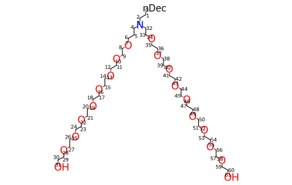 CCCCCCCCCCCCN(CCCOCCOCCOCCOCCOCCOCCOCCOCCO)CCOCCOCCOCCOCCOCCOCCOCCOCCOCCO